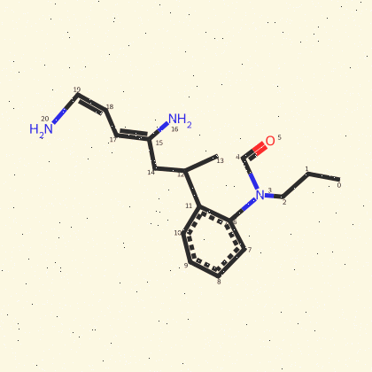 CCCN(C=O)c1ccccc1C(C)C/C(N)=C/C=C\N